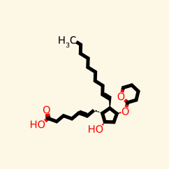 CCCCCCCCC=C[C@@H]1[C@@H](CC=CCCCC(=O)O)[C@@H](O)C[C@H]1OC1CCCCO1